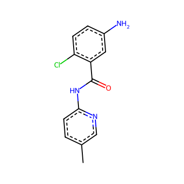 Cc1ccc(NC(=O)c2cc(N)ccc2Cl)nc1